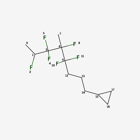 CC(F)C(F)(F)C(C)(F)C(F)(F)CCCC1CC1